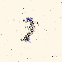 Cc1cc(N(C)C(=O)[C@H]2CC[C@H](Oc3cccc(CC(=O)NC(C)(C)C)c3)CC2)ccc1CN1CCN[C@@H](C)C1